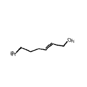 CC(C)CCCC=CCO